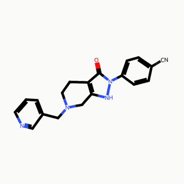 N#Cc1ccc(-n2[nH]c3c(c2=O)CCN(Cc2cccnc2)C3)cc1